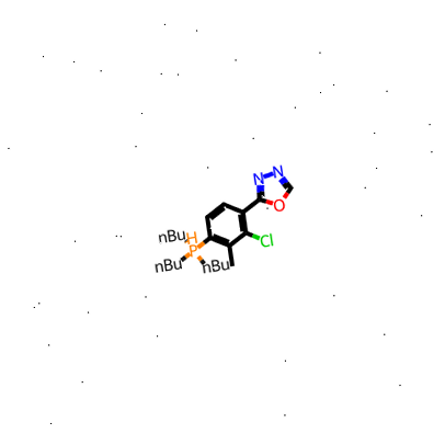 CCCC[PH](CCCC)(CCCC)c1ccc(-c2nnco2)c(Cl)c1C